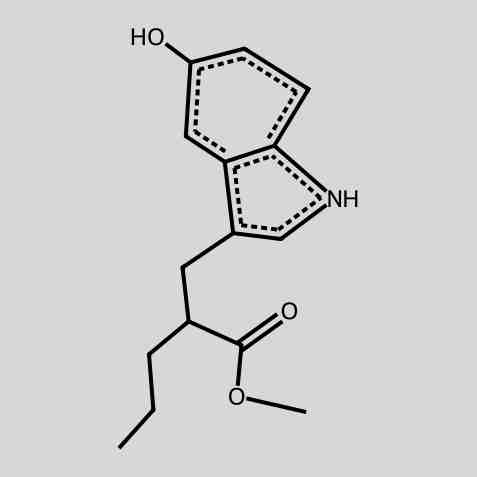 CCCC(Cc1c[nH]c2ccc(O)cc12)C(=O)OC